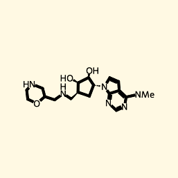 CNc1ncnc2c1ccn2[C@@H]1C[C@@H](CNCC2CNCCO2)[C@@H](O)[C@H]1O